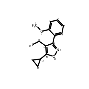 FC(F)(F)Oc1ccccc1-c1noc(C2CC2)c1CI